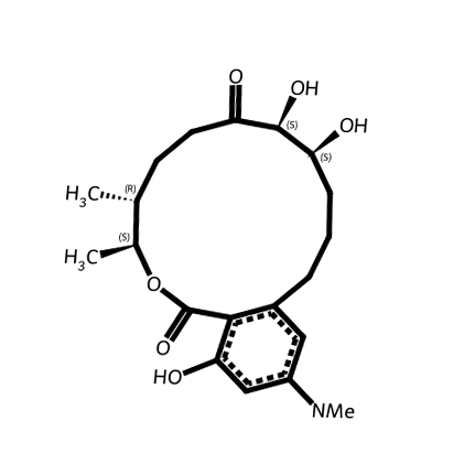 CNc1cc(O)c2c(c1)CCC[C@H](O)[C@H](O)C(=O)CC[C@@H](C)[C@H](C)OC2=O